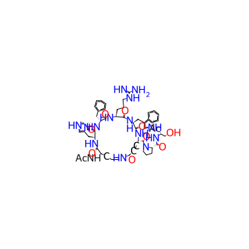 CC(=O)N[C@H]1CCCNC(=O)CC[C@@H](C(=O)N2CCC[C@H]2C(=O)N[C@@H](CO)C(C)=O)NC(=O)[C@H](Cc2c[nH]c3ccccc23)NC(=O)[C@H](CCCNC(=N)N)NC(=O)[C@@H](Cc2ccccc2)NC(=O)[C@H](Cc2c[nH]cn2)NC1=O